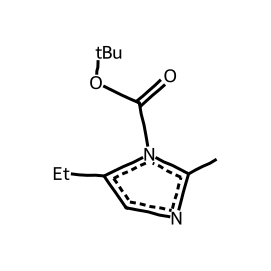 CCc1cnc(C)n1C(=O)OC(C)(C)C